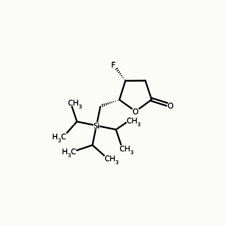 CC(C)[Si](C[C@H]1OC(=O)C[C@H]1F)(C(C)C)C(C)C